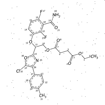 CCOC(=O)CCC(=O)OCC(Oc1ccc(F)c(C(N)=O)c1F)c1nc(-c2ccc(C)cc2)c(Cl)o1